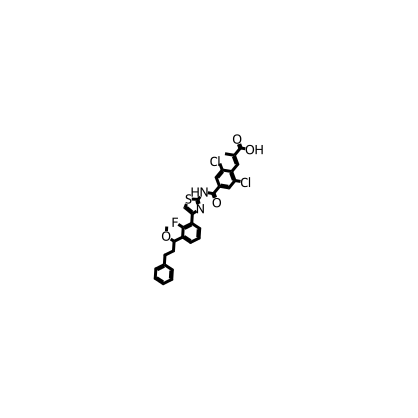 COC(CCc1ccccc1)c1cccc(-c2csc(NC(=O)c3cc(Cl)c(/C=C(\C)C(=O)O)c(Cl)c3)n2)c1F